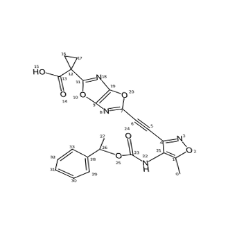 Cc1onc(C#Cc2nc3oc(C4(C(=O)O)CC4)nc3o2)c1NC(=O)OC(C)c1ccccc1